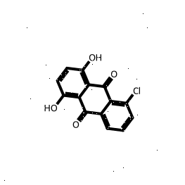 O=C1c2cccc(Cl)c2C(=O)c2c(O)ccc(O)c21